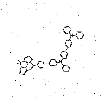 CC1(C)c2cccc3cc(-c4ccc(-c5ccc(N(c6ccccc6)c6ccc(-c7ccc(N(c8ccccc8)c8ccccc8)cc7)cc6)cc5)cc4)c4cccc1c4c23